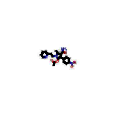 CC(=O)Oc1c(-c2ccc([N+](=O)[O-])cc2)c(C(N)=O)c(C)n1CCc1ccccn1